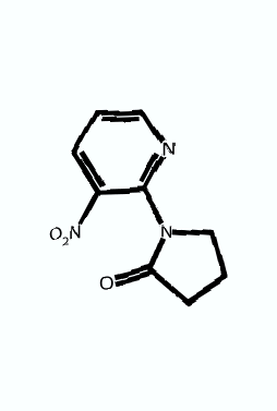 O=C1CCCN1c1ncccc1[N+](=O)[O-]